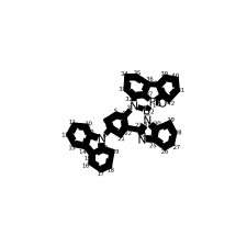 O=P12B3N(c4ccc(-n5c6ccccc6c6ccccc65)cc4-c4nc5ccccc5n43)c3cccc(c31)-c1ccccc12